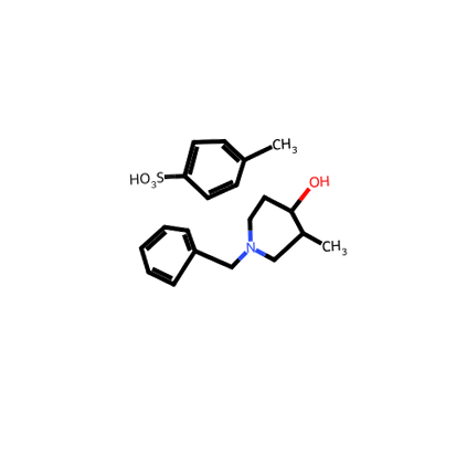 CC1CN(Cc2ccccc2)CCC1O.Cc1ccc(S(=O)(=O)O)cc1